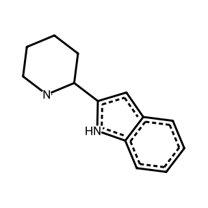 c1ccc2[nH]c(C3CCCC[N]3)cc2c1